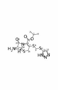 CC(C)OC(=O)C1=C(SCSc2cnn[nH]2)CS[C@@H]2C(N)C(=O)N12